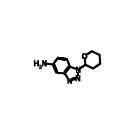 Nc1ccc2c(c1)nnn2C1CCCCO1